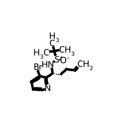 C=CCC[C@@H](N[S@@+]([O-])C(C)(C)C)c1ncccc1Br